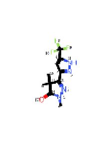 CN1N=C(c2cc(C(F)(F)F)[nH]n2)C(C)(C)C1=O